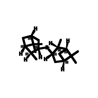 C[C@@H]1[C@@H]([B][C@H]2C[C@H]3C[C@@H]([C@@H]2C)C3(C)C)C[C@H]2C[C@@H]1C2(C)C